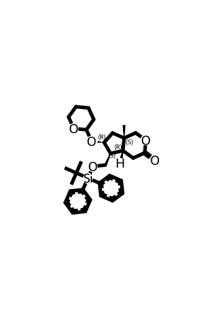 CC(C)(C)[Si](OC[C@@H]1[C@H]2CC(=O)OC[C@@]2(C)C[C@H]1OC1CCCCO1)(c1ccccc1)c1ccccc1